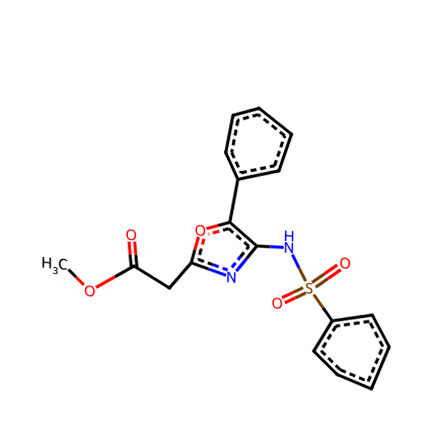 COC(=O)Cc1nc(NS(=O)(=O)c2ccccc2)c(-c2ccccc2)o1